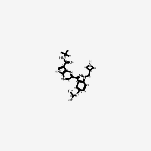 CC(C)(C)NC(=O)c1c[nH]c2ncc(-c3nn(CC4CNC4)c4ccc(OC(F)F)cc34)nc12